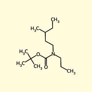 CCCN(CCC(C)CC)C(=O)OC(C)(C)C